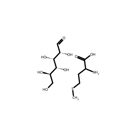 CSCCC(N)C(=O)O.O=C[C@H](O)[C@@H](O)[C@H](O)[C@H](O)CO